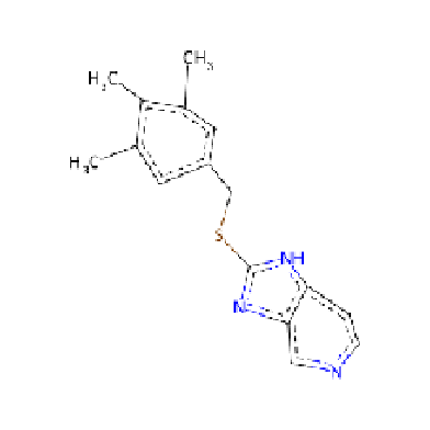 Cc1cc(CSc2nc3cnccc3[nH]2)cc(C)c1C